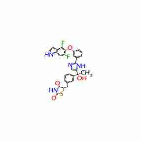 CC(O)(c1cccc(CC2SC(=O)NC2=O)c1)c1cnc(-c2cccc(Oc3c(F)cc4[nH]ccc4c3F)c2)[nH]1